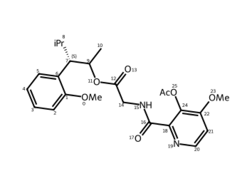 COc1ccccc1[C@H](C(C)C)C(C)OC(=O)CNC(=O)c1nccc(OC)c1OC(C)=O